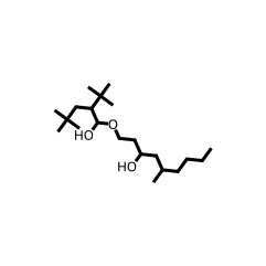 CCCCC(C)CC(O)CCOC(O)C(CC(C)(C)C)C(C)(C)C